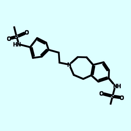 CS(=O)(=O)Nc1ccc(CCN2CCc3ccc(NS(C)(=O)=O)cc3CC2)cc1